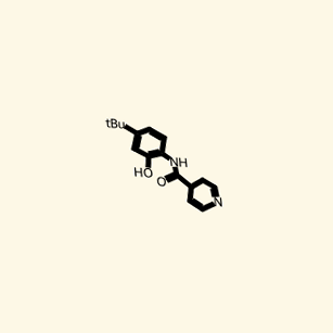 CC(C)(C)c1ccc(NC(=O)C2C=CN=CC2)c(O)c1